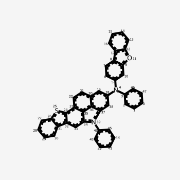 c1ccc(N(c2ccc3c(c2)oc2ccccc23)c2cc3ccc4c5sc6ccccc6c5cc5c4c3c(c2)n5-c2ccccc2)cc1